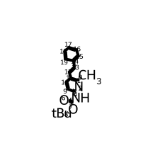 Cc1nc(NC(=O)OC(C)(C)C)ccc1/C=C/c1ccccc1